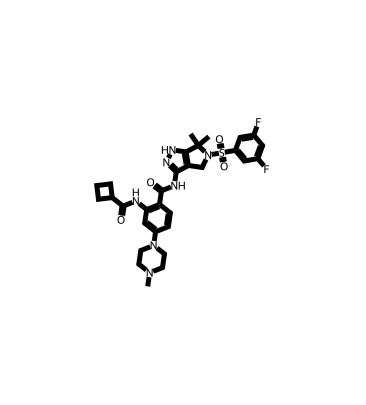 CN1CCN(c2ccc(C(=O)Nc3n[nH]c4c3CN(S(=O)(=O)c3cc(F)cc(F)c3)C4(C)C)c(NC(=O)C3CCC3)c2)CC1